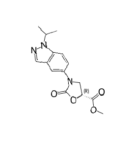 COC(=O)[C@H]1CN(c2ccc3c(cnn3C(C)C)c2)C(=O)O1